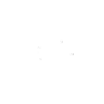 N=c1occn1Cc1cccc(N)c1N